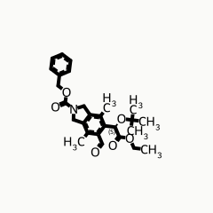 CCOC(=O)[C@@H](OC(C)(C)C)c1c(C)c2c(c(C)c1C=O)CN(C(=O)OCc1ccccc1)C2